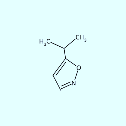 CC(C)c1c[c]no1